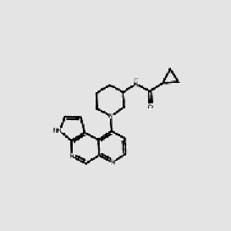 O=C(NC1CCCN(c2ccnc3cnc4[nH]ccc4c23)C1)C1CC1